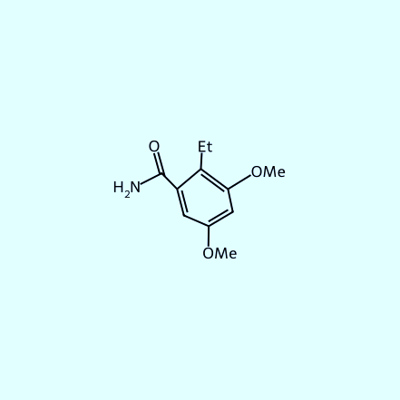 CCc1c(OC)cc(OC)cc1C(N)=O